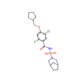 O=C(NS(=O)(=O)N1CC2CCC(C2)C1)c1cc(Cl)c(OCC2CCCC2)cc1F